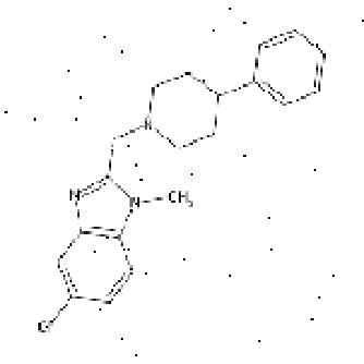 Cn1c(CN2CCC(c3ccccc3)CC2)nc2cc(Cl)ccc21